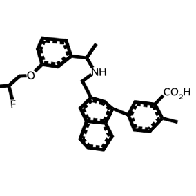 Cc1ccc(-c2cc(CNC(C)c3cccc(OCC(F)F)c3)cc3ccccc23)cc1C(=O)O